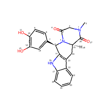 CN1CC(=O)N2[C@H](c3ccc(O)c(O)c3)c3[nH]c4ccccc4c3C[C@@H]2C1=O